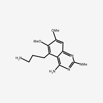 CNc1nc(N)c2c(CCCN)c(OC)c(OC)cc2n1